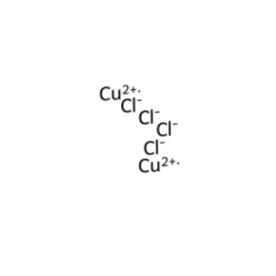 [Cl-].[Cl-].[Cl-].[Cl-].[Cu+2].[Cu+2]